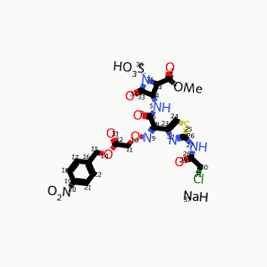 COC(=O)C1C(NC(=O)/C(=N\OCC(=O)OCc2ccc([N+](=O)[O-])cc2)c2csc(NC(=O)CCl)n2)C(=O)N1S(=O)(=O)O.[NaH]